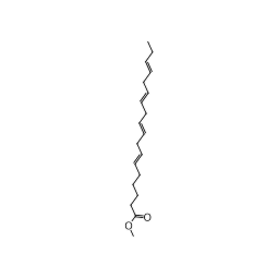 CCC=CCC=CCC=CCC=CCCCCC(=O)OC